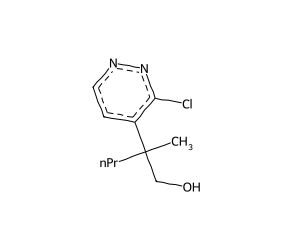 CCCC(C)(CO)c1ccnnc1Cl